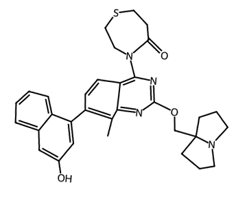 Cc1c(-c2cc(O)cc3ccccc23)ccc2c(N3CCSCCC3=O)nc(OCC34CCCN3CCC4)nc12